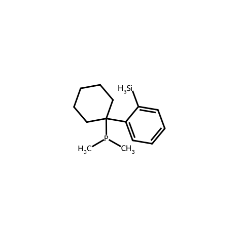 CP(C)C1(c2ccccc2[SiH3])CCCCC1